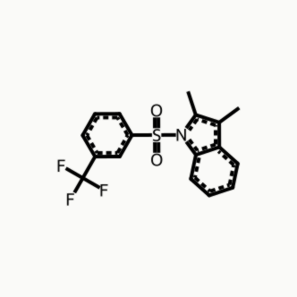 Cc1c(C)n(S(=O)(=O)c2cccc(C(F)(F)F)c2)c2ccccc12